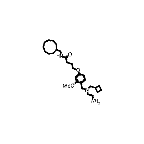 COc1cc(OCCCC(=O)NCC2CCCCCCCC2)ccc1CN(CCN)CC1CCC1